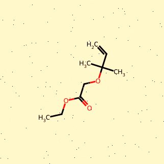 C=CC(C)(C)OCC(=O)OCC